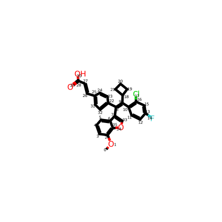 COc1cccc2c(/C(=C(\c3ccc(F)cc3Cl)C3CCC3)c3ccc(C=CC(=O)O)cc3)coc12